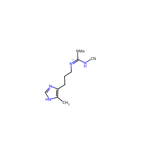 CN/C(=N/CCCc1nc[nH]c1C)NC#N